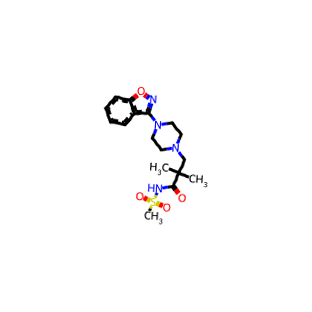 CC(C)(CN1CCN(c2noc3ccccc23)CC1)C(=O)NS(C)(=O)=O